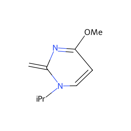 C=C1N=C(OC)C=CN1C(C)C